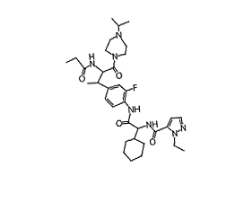 CCC(=O)NC(C(=O)N1CCN(C(C)C)CC1)C(C)c1ccc(NC(=O)C(NC(=O)c2ccnn2CC)C2CCCCC2)c(F)c1